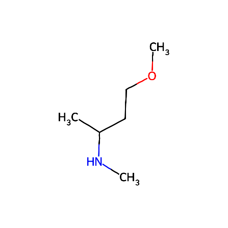 CNC(C)CCOC